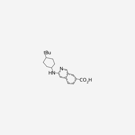 CC(C)(C)C1CCC(Nc2cc3ccc(C(=O)O)cc3cn2)CC1